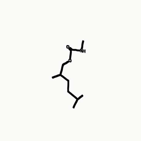 CNC(=O)OCC(C)CCC(C)C